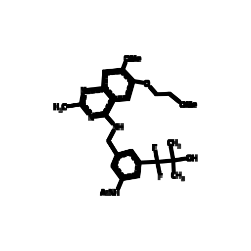 COCCOc1cc2c(NCc3cc(NC(C)=O)cc(C(F)(F)C(C)(C)O)c3)nc(C)nc2cc1OC